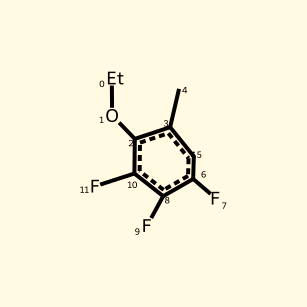 CCOc1c(C)[c]c(F)c(F)c1F